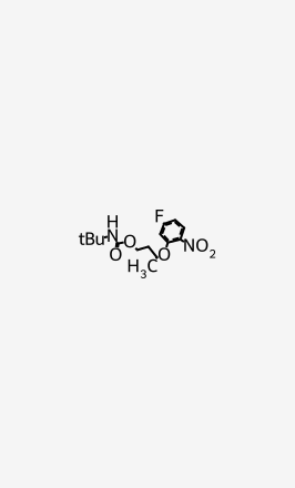 CC(CCOC(=O)NC(C)(C)C)Oc1cc(F)ccc1[N+](=O)[O-]